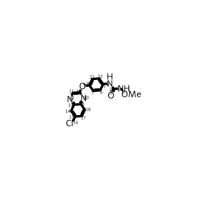 CONC(=O)Nc1ccc(Oc2cnc3cc(Cl)ccc3n2)cc1